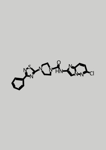 O=C(Nc1cn2nc(Cl)ccc2n1)N1CCN(c2nc(-c3ccccc3)ns2)CC1